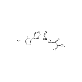 C=C(C)C(=O)NCNC(=O)c1nnn(-c2ccc(C#N)[nH]2)n1